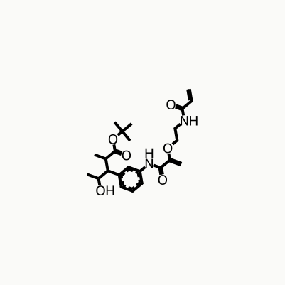 C=CC(=O)NCCOC(=C)C(=O)Nc1cccc(C(C(C)O)C(C)C(=O)OC(C)(C)C)c1